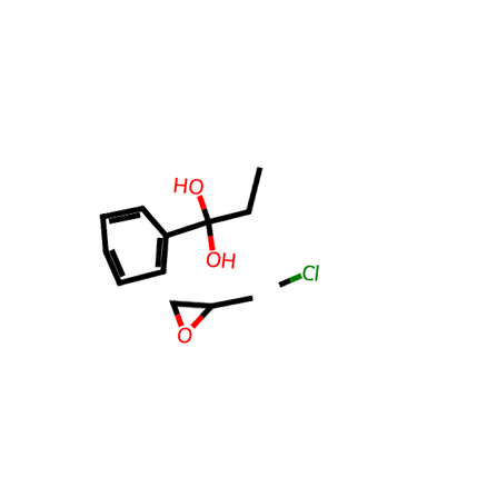 CC1CO1.CCC(O)(O)c1ccccc1.CCl